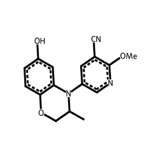 COc1ncc(N2c3cc(O)ccc3OCC2C)cc1C#N